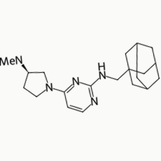 CN[C@@H]1CCN(c2ccnc(NCC34CC5CC(CC(C5)C3)C4)n2)C1